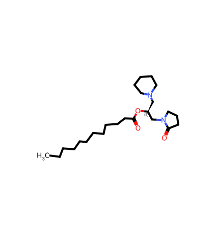 CCCCCCCCCCCC(=O)O[C@@H](CN1CCCCC1)CN1CCCC1=O